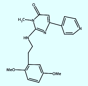 COc1ccc(OC)c(CCNc2nc(-c3ccncc3)cc(=O)n2C)c1